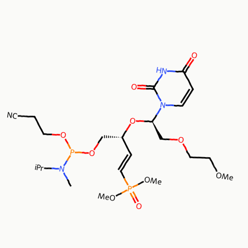 COCCOC[C@@H](O[C@H](/C=C/P(=O)(OC)OC)COP(OCCC#N)N(C)C(C)C)n1ccc(=O)[nH]c1=O